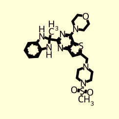 CC1(c2nc(N3CCOCC3)c3sc(CN4CCN(S(C)(=O)=O)CC4)cc3n2)Nc2ccccc2N1